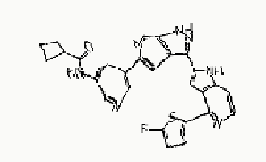 O=C(Nc1cncc(-c2cc3c(-c4cc5c(-c6ccc(F)s6)nccc5[nH]4)n[nH]c3cn2)c1)C1CCC1